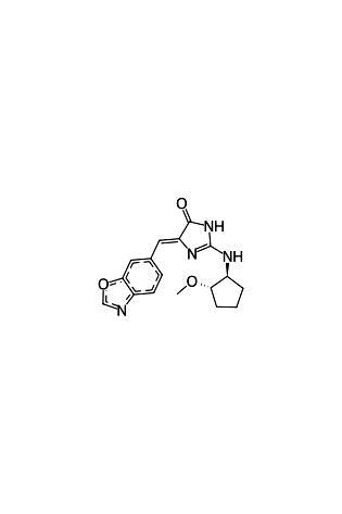 CO[C@H]1CCC[C@@H]1NC1=N/C(=C\c2ccc3ncoc3c2)C(=O)N1